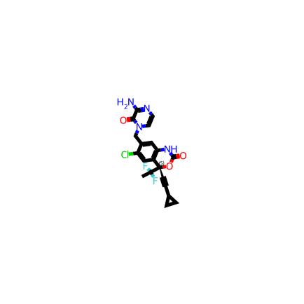 CC(F)(F)[C@@]1(C#CC2CC2)OC(=O)Nc2cc(Cn3ccnc(N)c3=O)c(Cl)cc21